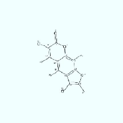 Cc1oc2c(C)c3oc(=O)c(Cl)c(C)c3c(C)c2c1Cl